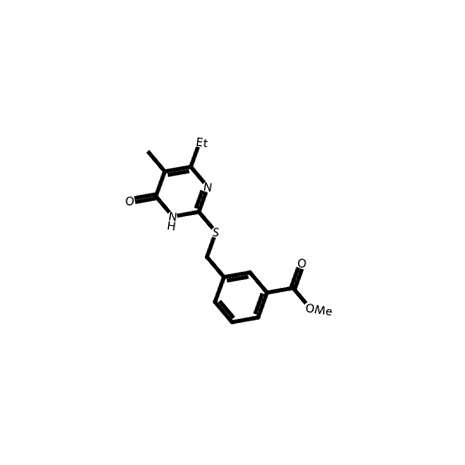 CCc1nc(SCc2cccc(C(=O)OC)c2)[nH]c(=O)c1C